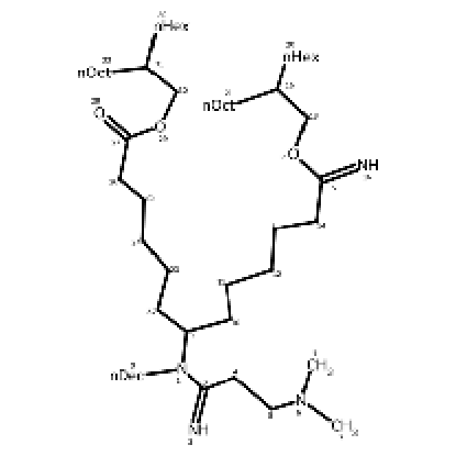 CCCCCCCCCCN(C(=N)CCN(C)C)C(CCCCCC(=N)OCC(CCCCCC)CCCCCCCC)CCCCCC(=O)OCC(CCCCCC)CCCCCCCC